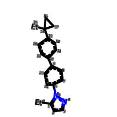 CCc1ccnn1-c1ccc(-c2ccc(C3(CC)CC3)cc2)cc1